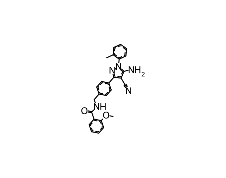 COc1ccccc1C(=O)NCc1ccc(-c2nn(-c3ccccc3C)c(N)c2C#N)cc1